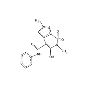 Cc1cc2c(s1)S(=O)(=O)N(C)C(O)=C2C(=O)Nc1ccccc1